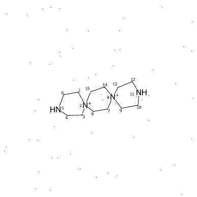 C1C[N+]2(CCN1)CC[N+]1(CCNCC1)CC2